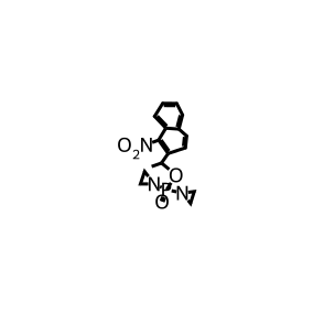 CC(OP(=O)(N1CC1)N1CC1)c1ccc2ccccc2c1[N+](=O)[O-]